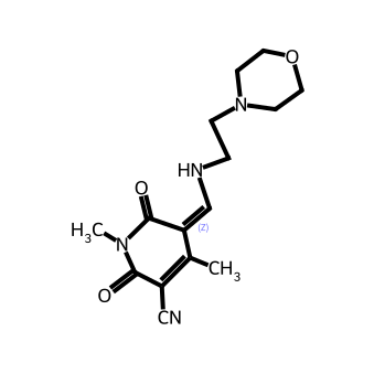 CC1=C(C#N)C(=O)N(C)C(=O)/C1=C\NCCN1CCOCC1